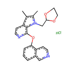 Cc1c(C)n(CC2OCCO2)c2c(Oc3cccc4cnccc34)nccc12.Cl